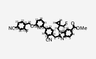 COC(=O)c1ccc2nc(Cc3ccc(-c4cccc(OCc5ccc(C#N)cc5F)n4)cc3C#N)n(CC3(CF)CC3)c2c1